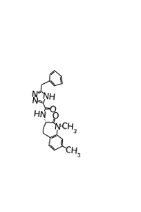 Cc1ccc2c(c1)N(C)C(=O)[C@@H](NC(=O)c1nnc(Cc3ccccc3)[nH]1)CC2